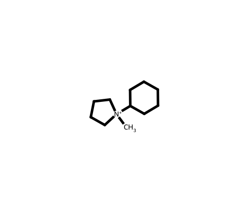 C[N+]1(C2CCCCC2)CCCC1